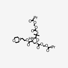 CC(C)C(=O)OCOC(=O)SC[C@H](NC(=O)C(C)(C)SC(=O)OCOC(=O)C(C)C)C(=O)OCCN1CCOCC1